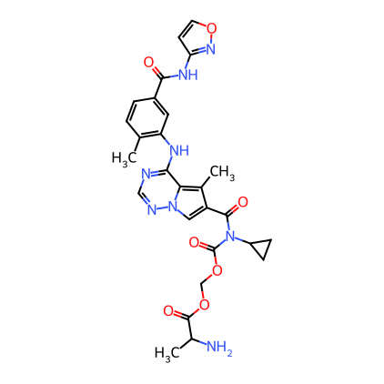 Cc1ccc(C(=O)Nc2ccon2)cc1Nc1ncnn2cc(C(=O)N(C(=O)OCOC(=O)C(C)N)C3CC3)c(C)c12